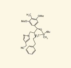 COc1cc([C@@H](O[Si](C)(C)C(C)(C)C)[C@@H](CCCc2ccccc2)Cn2cc(CC#N)cn2)cc(OC)c1C